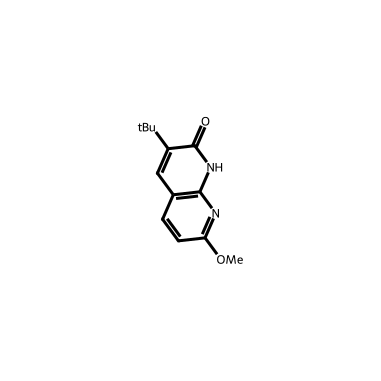 COc1ccc2cc(C(C)(C)C)c(=O)[nH]c2n1